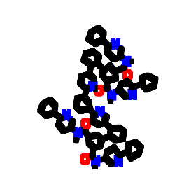 CN(C(=O)c1cc(C(=O)N(C)c2ccc(-c3ccccc3)nc2)cc(-c2ccccc2-c2ccc(-c3cccc(-c4ccc(-c5ccccc5-c5cc(C(=O)N(C)c6ccc(-c7ccccc7)nc6)cc(C(=O)N(C)c6ccc(-c7ccccc7)nc6)c5)cn4)c3)nc2)c1)c1ccc(-c2ccccc2)nc1